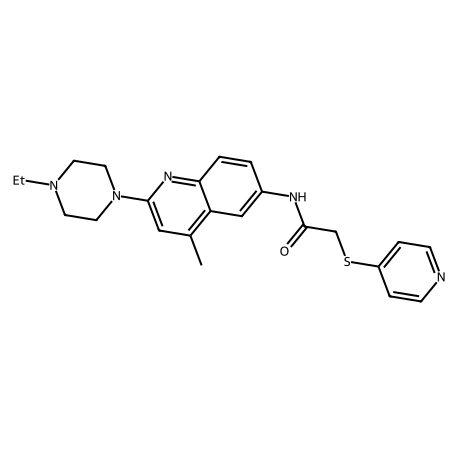 CCN1CCN(c2cc(C)c3cc(NC(=O)CSc4ccncc4)ccc3n2)CC1